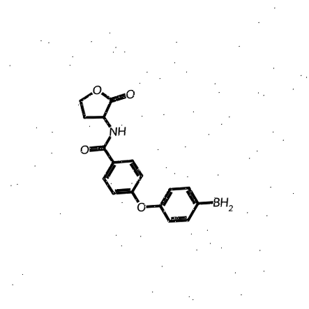 Bc1ccc(Oc2ccc(C(=O)NC3CCOC3=O)cc2)cc1